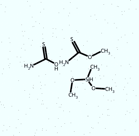 COC(N)=S.CO[SiH](C)OC.NC(O)=S